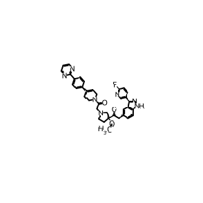 CO[C@@]1(C(=O)Cc2ccc3[nH]nc(-c4ccc(F)nc4)c3c2)CCN(CC(=O)N2CC=C(c3ccc(-c4ncccn4)cc3)CC2)C1